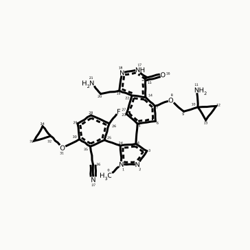 Cn1ncc(-c2cc(OCC3(N)CC3)c3c(=O)[nH]nc(CN)c3c2)c1-c1c(F)ccc(OC2CC2)c1C#N